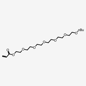 C=CC(=O)OCCOCCOCCOCCOCCOCCOCCCC